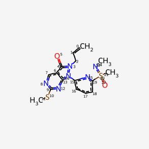 C=CCn1c(=O)c2cnc(SC)nc2n1-c1cccc(S(C)(=O)=NC)n1